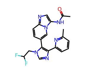 CC(=O)Nc1cnc2ccc(-c3c(-c4cccc(C)n4)ncn3CC(F)F)cn12